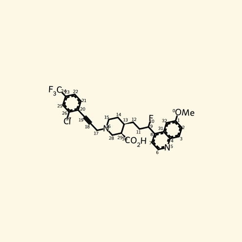 COc1ccc2nccc(C(F)CC[C@@H]3CCN(CC#Cc4ccc(C(F)(F)F)cc4Cl)C[C@@H]3C(=O)O)c2c1